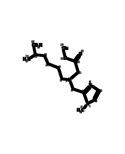 Cn1ccnc1CN(CCCCC(N)C(=O)O)CC(=O)OC(C)(C)C